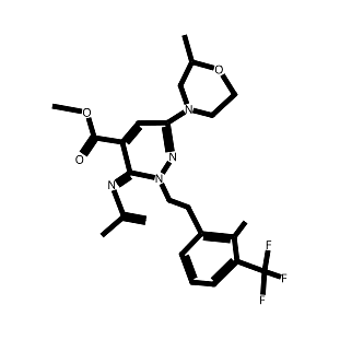 C=C(C)/N=c1/c(C(=O)OC)cc(N2CCOC(C)C2)nn1CCc1cccc(C(F)(F)F)c1C